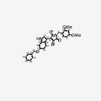 COc1ccc(CN2C(=O)C(Br)=C(c3c[nH]c4cc(OCc5ccccc5)ccc34)C2=O)c(OC)c1